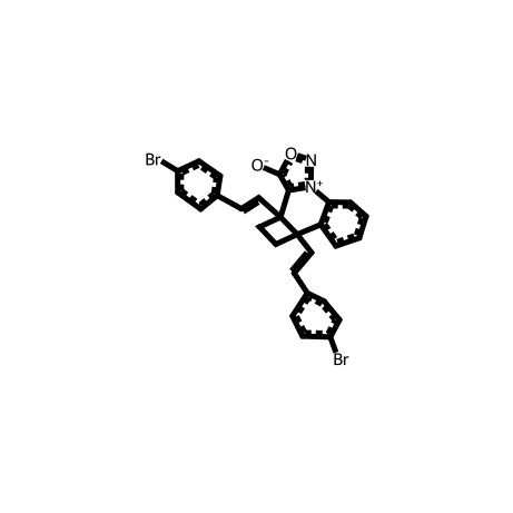 [O-]c1on[n+]2c1C1(/C=C/c3ccc(Br)cc3)CCC1(/C=C/c1ccc(Br)cc1)c1ccccc1-2